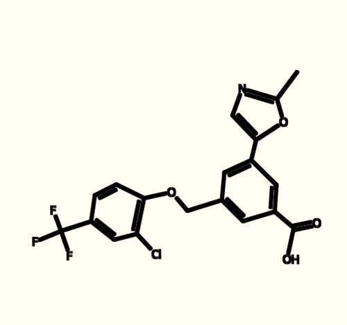 Cc1ncc(-c2cc(COc3ccc(C(F)(F)F)cc3Cl)cc(C(=O)O)c2)o1